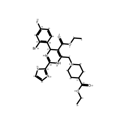 CCOC(=O)C1=C(CN2CCC(C(=O)OCC)CC2)NC(c2nccs2)=NC1c1ccc(F)cc1Br